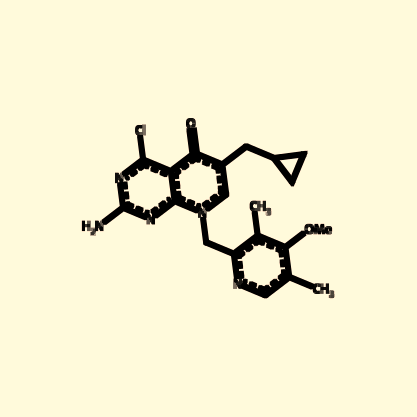 COc1c(C)cnc(Cn2cc(CC3CC3)c(=O)c3c(Cl)nc(N)nc32)c1C